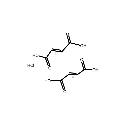 Cl.O=C(O)/C=C/C(=O)O.O=C(O)/C=C/C(=O)O